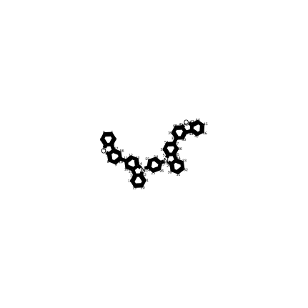 c1ccc2c(c1)oc1ccc(-c3ccc4c(c3)c3ccccc3n4-c3ccc(-n4c5ccccc5c5cc(-c6ccc7oc8ccccc8c7c6)ccc54)cc3)cc12